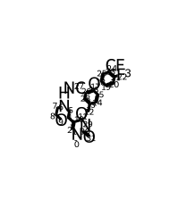 Cn1cc(C2CNCCO2)c(OCc2ccc(Oc3ccc(F)c(C(F)(F)F)c3)c(C#N)c2)nc1=O